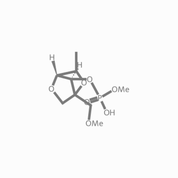 COCC12CO[C@H](C(C)O1)[C@H]2OP(=O)(O)OC